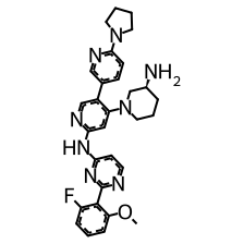 COc1cccc(F)c1-c1nccc(Nc2cc(N3CCC[C@H](N)C3)c(-c3ccc(N4CCCC4)nc3)cn2)n1